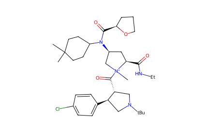 CCNC(=O)[C@@H]1C[C@H](N(C(=O)[C@H]2CCCO2)C2CCC(C)(C)CC2)C[N+]1(C)C(=O)[C@@H]1CN(C(C)(C)C)C[C@H]1c1ccc(Cl)cc1